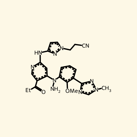 CCC(=O)c1cnc(Nc2ccn(CCC#N)n2)cc1N(N)c1cccc(-c2ncn(C)n2)c1OC